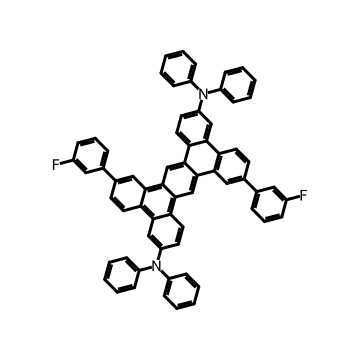 Fc1cccc(-c2ccc3c(c2)c2cc4c5ccc(N(c6ccccc6)c6ccccc6)cc5c5ccc(-c6cccc(F)c6)cc5c4cc2c2ccc(N(c4ccccc4)c4ccccc4)cc32)c1